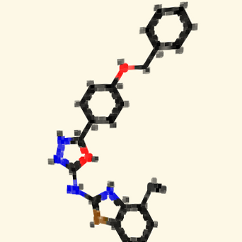 COc1cccc2sc(Nc3nnc(-c4ccc(OCc5ccccc5)cc4)o3)nc12